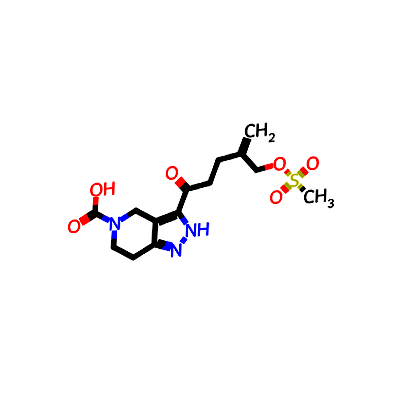 C=C(CCC(=O)c1[nH]nc2c1CN(C(=O)O)CC2)COS(C)(=O)=O